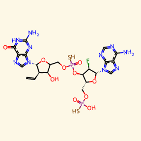 C=C[C@@H]1[C@H](O)C(COP(=O)(S)O[C@H]2[C@@H](F)[C@H](n3cnc4c(N)ncnc43)O[C@@H]2COP(=O)(O)S)O[C@H]1n1cnc2c(=O)[nH]c(N)nc21